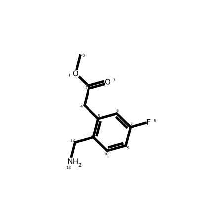 COC(=O)Cc1cc(F)ccc1CN